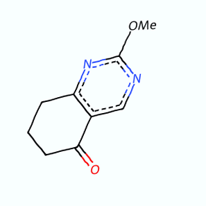 COc1ncc2c(n1)CCCC2=O